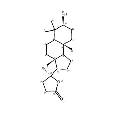 CC1(C)C2CC[C@]3(C)C(CC[C@@H]3[C@]3(C)CCC(=O)O3)[C@@]2(C)CC[C@@H]1O